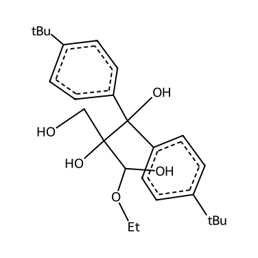 CCOC(O)C(O)(CO)C(O)(c1ccc(C(C)(C)C)cc1)c1ccc(C(C)(C)C)cc1